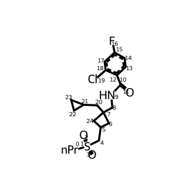 CCCS(=O)(=O)CC1CC(CNC(=O)c2ccc(F)cc2Cl)(CC2CC2)C1